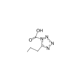 CCCc1nnnn1C(=O)O